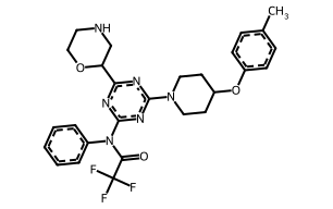 Cc1ccc(OC2CCN(c3nc(C4CNCCO4)nc(N(C(=O)C(F)(F)F)c4ccccc4)n3)CC2)cc1